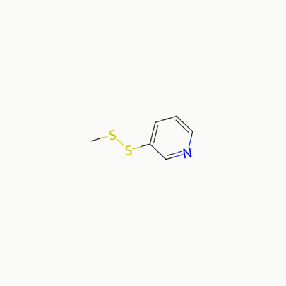 CSSc1cccnc1